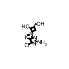 Nc1nc(Cl)c2ncn([C@@H]3C[C@H](CO)[C@H]3O)c2n1